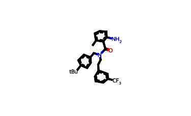 Cc1cccc(N)c1C(=O)N(CCc1cccc(C(F)(F)F)c1)Cc1ccc(C(C)(C)C)cc1